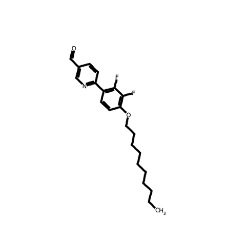 CCCCCCCCCCOc1ccc(-c2ccc(C=O)cn2)c(F)c1F